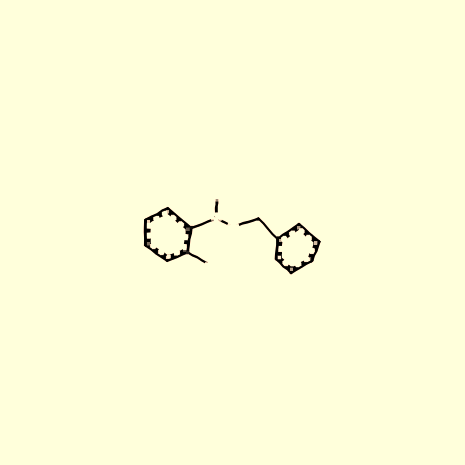 CCc1ccccc1N(CC)OCc1ccccc1